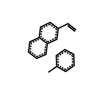 C=Cc1ccc2ccccc2c1.Cc1ccccc1